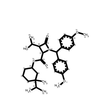 COc1ccc(C(c2ccc(OC)cc2)N2C(=O)C(C(C)O)C2C(=O)OC2CCCC(C)(C(C)C)C2)cc1